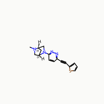 CN1C[C@@H]2C[C@H]1CN2c1ccc(C#Cc2cccs2)nn1